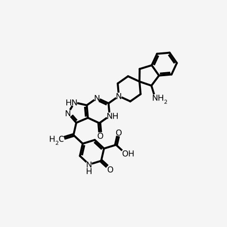 C=C(c1c[nH]c(=O)c(C(=O)O)c1)c1n[nH]c2nc(N3CCC4(CC3)Cc3ccccc3C4N)[nH]c(=O)c12